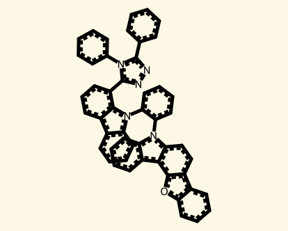 c1ccc(-c2nnc(-c3cccc4c5ccccc5n(-c5ccccc5-n5c6ccccc6c6c7oc8ccccc8c7ccc65)c34)n2-c2ccccc2)cc1